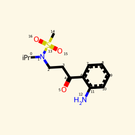 CC(C)N(CCC(=O)c1ccccc1N)S(C)(=O)=O